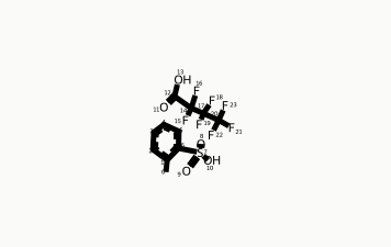 Cc1ccccc1S(=O)(=O)O.O=C(O)C(F)(F)C(F)(F)C(F)(F)F